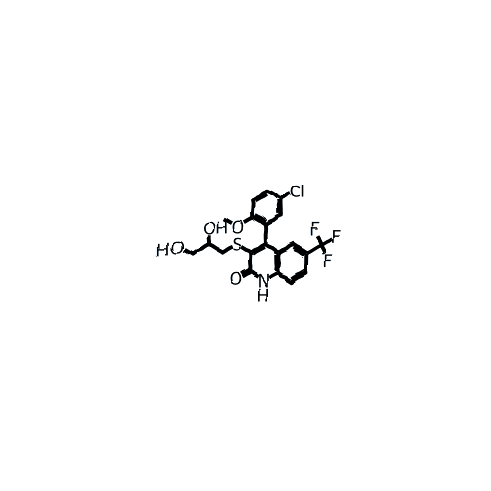 COc1ccc(Cl)cc1-c1c(SCC(O)CO)c(=O)[nH]c2ccc(C(F)(F)F)cc12